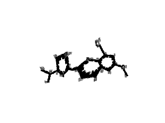 COc1cc(Cl)c2nc(-c3nc(C(C)C)cs3)c[c]c2c1